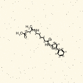 C=C(CSC(C)=O)NCCCCCC(=O)Nc1nc(-c2ccccc2)cs1